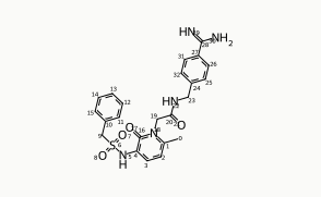 Cc1ccc(NS(=O)(=O)Cc2ccccc2)c(=O)n1CC(=O)NCc1ccc(C(=N)N)cc1